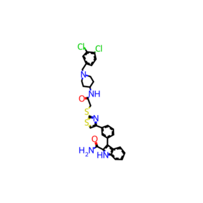 NC(=O)c1[nH]c2ccccc2c1-c1cccc(-c2csc(SCC(=O)NC3CCN(Cc4ccc(Cl)c(Cl)c4)CC3)n2)c1